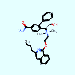 CCCCc1cc2ccccc2c(OCC[N+](C)(C)[C@@H](CO)c2ccc(C(N)=O)cc2-c2ccccc2)n1